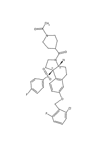 CC(=O)N1CCC(C(=O)N2CC[C@@]3(S(=O)(=O)c4ccc(F)cc4)c4ccc(OCc5c(F)cccc5Cl)cc4CC[C@@H]23)CC1